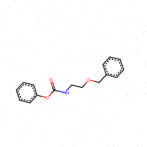 O=C(NCCOCc1ccccc1)Oc1ccccc1